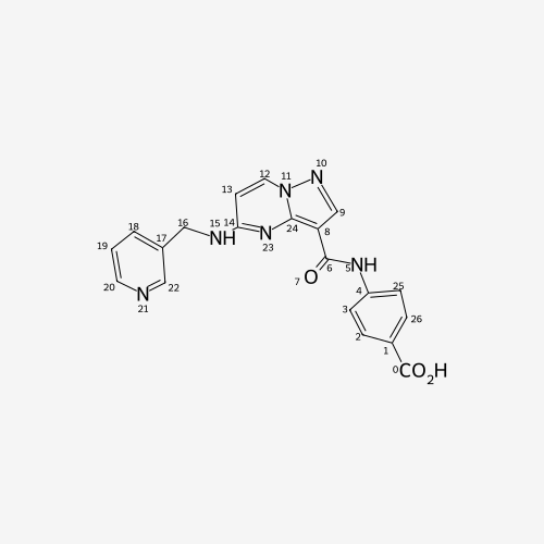 O=C(O)c1ccc(NC(=O)c2cnn3ccc(NCc4cccnc4)nc23)cc1